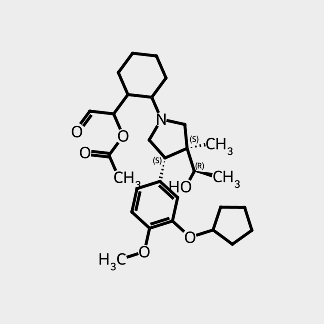 COc1ccc([C@@H]2CN(C3CCCCC3C(C=O)OC(C)=O)C[C@@]2(C)[C@@H](C)O)cc1OC1CCCC1